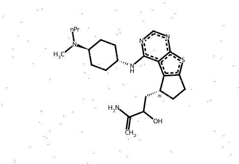 C=C(N)C(O)C[C@H]1CCc2sc3ncnc(N[C@H]4CC[C@H](N(C)CCC)CC4)c3c21